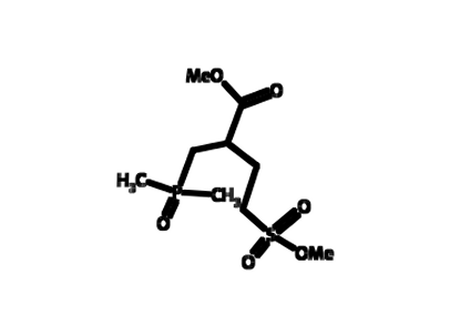 COC(=O)C(CCS(=O)(=O)OC)CP(C)(C)=O